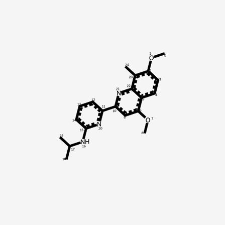 COc1ccc2c(OC)cc(-c3cccc(NC(C)C)n3)nc2c1C